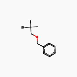 CC(C)C(C)(C)COCc1ccccc1